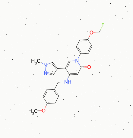 COc1ccc(CNc2cc(=O)n(-c3ccc(OCF)cc3)cc2-c2cnn(C)c2)cc1